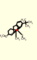 COC1CCC2(CC1)Cc1ccc(C(C)(C)C)cc1C21N=C(SC)N(C)C1=O